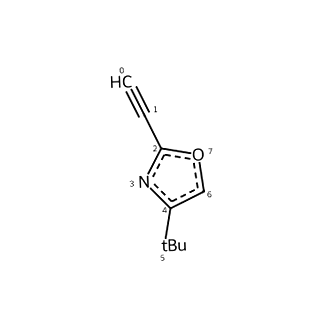 C#Cc1nc(C(C)(C)C)co1